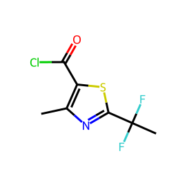 Cc1nc(C(C)(F)F)sc1C(=O)Cl